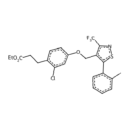 CCOC(=O)CCc1ccc(OCc2c(C(F)(F)F)nsc2-c2ccccc2C)cc1Cl